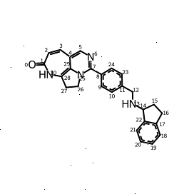 O=C1C=CC2=CN=C(c3ccc(CNC4CCc5ccccc54)cc3)N3CCC(=C23)N1